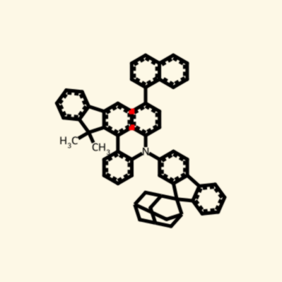 CC1(C)c2ccccc2-c2cccc(-c3ccccc3N(c3ccc(-c4cccc5ccccc45)cc3)c3ccc4c(c3)C3(c5ccccc5-4)C4CC5CC(C4)CC3C5)c21